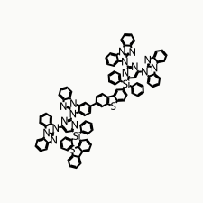 c1ccc([Si](c2ccccc2)(c2ccc3sc4cc(-c5ccc6c(c5)n5c7ccccc7nc5n6-c5nc(-n6c7ccccc7n7c8ccccc8nc67)cc([Si](c6ccccc6)(c6ccccc6)c6cccc7c6sc6ccccc67)n5)ccc4c3c2)c2cc(-n3c4ccccc4n4c5ccccc5nc34)nc(-n3c4ccccc4n4c5ccccc5nc34)n2)cc1